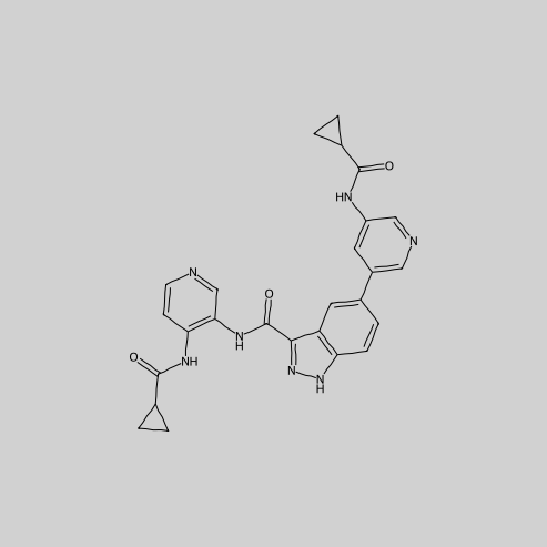 O=C(Nc1cnccc1NC(=O)C1CC1)c1n[nH]c2ccc(-c3cncc(NC(=O)C4CC4)c3)cc12